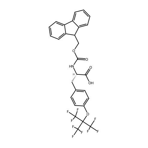 O=C(N[C@@H](Cc1ccc(OC(C(F)(F)F)(C(F)(F)F)C(F)(F)F)cc1)C(=O)O)OCC1c2ccccc2-c2ccccc21